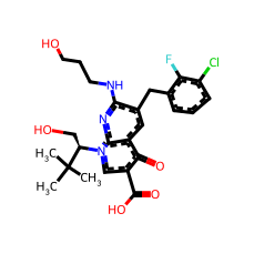 CC(C)(C)[C@@H](CO)n1cc(C(=O)O)c(=O)c2cc(Cc3cccc(Cl)c3F)c(NCCCO)nc21